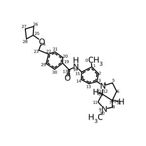 Cc1cc(N2CC[C@@H]3CN(C)C[C@@H]32)ccc1NC(=O)c1ccc(COC2CCC2)cc1